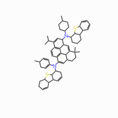 CC1C=CC(N(C2=CC3CCC(C)(C)C4=CC5c6c(ccc2c6C43)C(C(C)C)=CC5N(C2CCC(C)CC2)C2CCCC3C4C=CC=CC4SC32)C2CC=CC3C4C=CCCC4SC32)=CC1